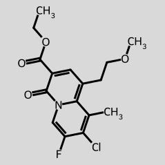 CCOC(=O)c1cc(CCOC)c2c(C)c(Cl)c(F)cn2c1=O